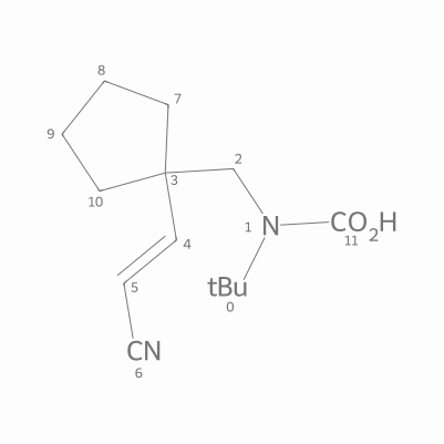 CC(C)(C)N(CC1(/C=C/C#N)CCCC1)C(=O)O